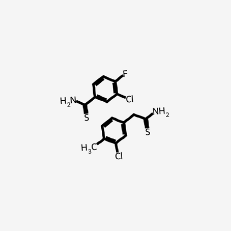 Cc1ccc(CC(N)=S)cc1Cl.NC(=S)c1ccc(F)c(Cl)c1